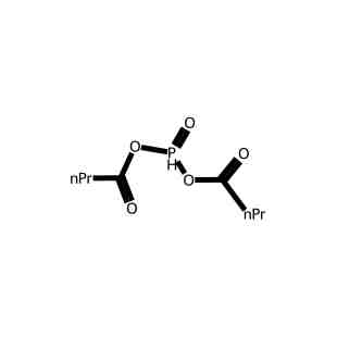 CCCC(=O)O[PH](=O)OC(=O)CCC